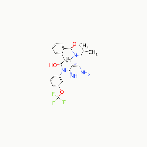 CC(C)CN1C(=O)c2ccccc2[C@H](C(O)Nc2cccc(OC(F)(F)F)c2)[C@H]1/C(C=N)=C/N